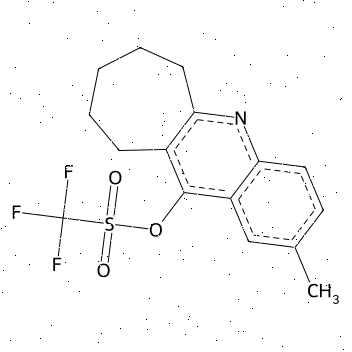 Cc1ccc2nc3c(c(OS(=O)(=O)C(F)(F)F)c2c1)CCCCC3